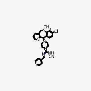 CN1Cc2cccnc2C(N2CCN(/C(=N/Cc3ccncc3)NC#N)CC2)c2ccc(Cl)cc21